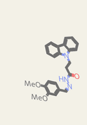 COc1ccc(/C=N\NC(=O)CCn2c3ccccc3c3ccccc32)cc1OC